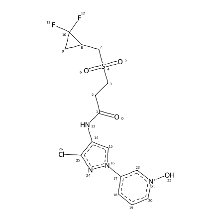 O=C(CCS(=O)(=O)CC1CC1(F)F)Nc1cn(-c2ccc[n+](O)c2)nc1Cl